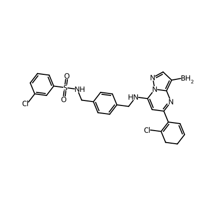 Bc1cnn2c(NCc3ccc(CNS(=O)(=O)c4cccc(Cl)c4)cc3)cc(C3=C(Cl)CCC=C3)nc12